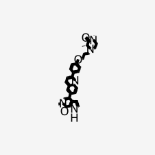 C[C@@H]1C(=O)N(C)CCN1CCCOc1ccc(-c2ccc3cc(-c4cn(C)c(=O)c5[nH]ccc45)ccc3n2)cc1